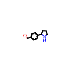 O=Cc1ccc(C2CCCN2)cc1